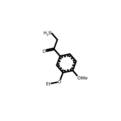 CCOc1cc(C(=O)C[SiH3])ccc1OC